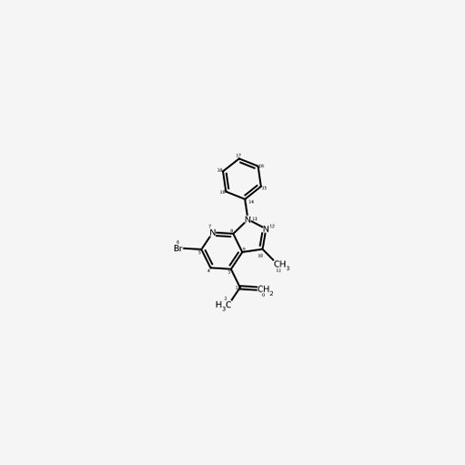 C=C(C)c1cc(Br)nc2c1c(C)nn2-c1ccccc1